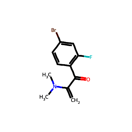 C=C(C(=O)c1ccc(Br)cc1F)N(C)C